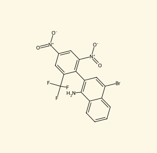 Nc1c(-c2c([N+](=O)[O-])cc([N+](=O)[O-])cc2C(F)(F)F)cc(Br)c2ccccc12